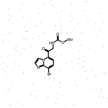 CC(C)(C)OC(=O)NCC(=O)c1ccc(Br)c2nccn12